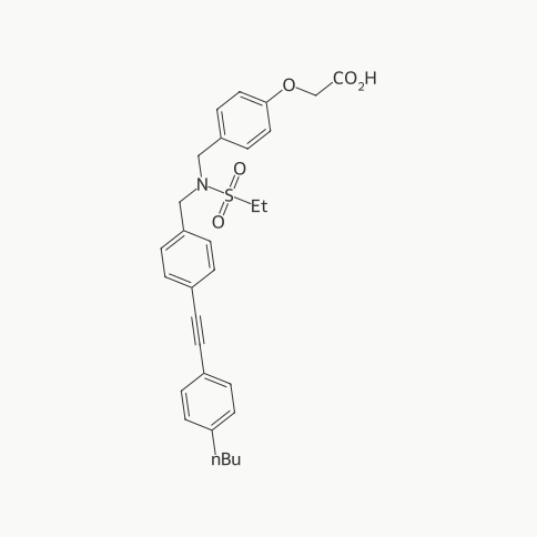 CCCCc1ccc(C#Cc2ccc(CN(Cc3ccc(OCC(=O)O)cc3)S(=O)(=O)CC)cc2)cc1